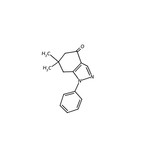 CC1(C)CC(=O)c2cnn(-c3ccccc3)c2C1